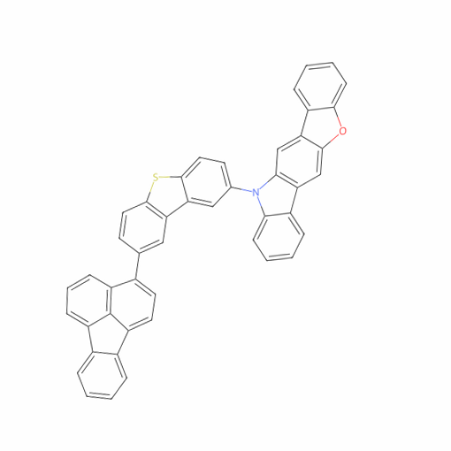 c1ccc2c(c1)-c1cccc3c(-c4ccc5sc6ccc(-n7c8ccccc8c8cc9oc%10ccccc%10c9cc87)cc6c5c4)ccc-2c13